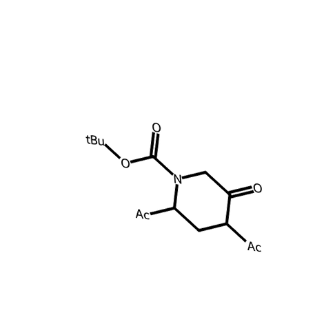 CC(=O)C1CC(C(C)=O)N(C(=O)OC(C)(C)C)CC1=O